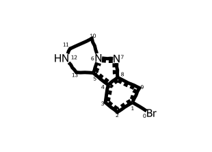 Brc1ccc2c3n(nc2c1)CCNC3